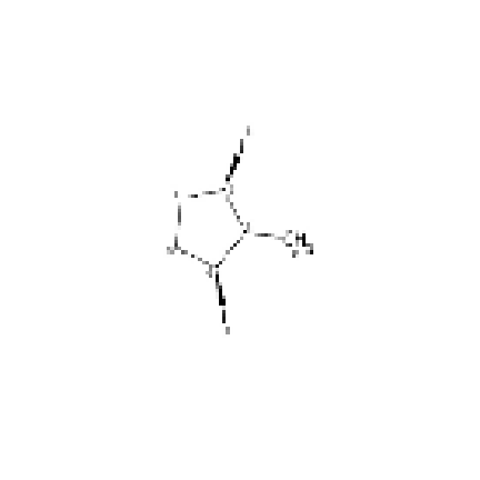 CC1[C@H](I)CC[C@@H]1I